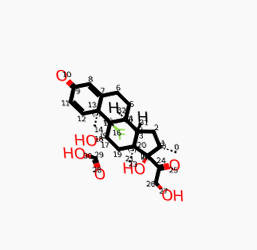 C[C@H]1C[C@H]2[C@@H]3CCC4=CC(=O)C=C[C@]4(C)[C@@]3(F)[C@@H](O)C[C@]2(C)[C@@]1(O)C(=O)CO.O=CO